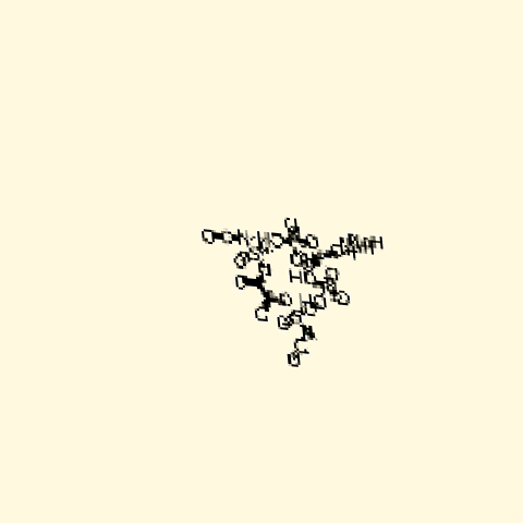 O=C=NS(=O)(=O)OC(=O)C(=O)OS(=O)(=O)N=C=O.O=P(O)(O)OP(=O)(O)OP(=O)(O)O.[NaH].[NaH]